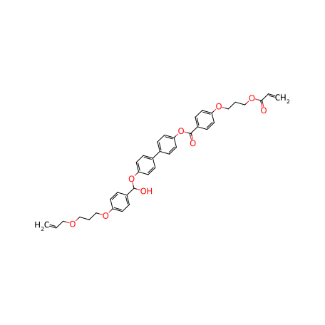 C=CCOCCCOc1ccc(C(O)Oc2ccc(-c3ccc(OC(=O)c4ccc(OCCCOC(=O)C=C)cc4)cc3)cc2)cc1